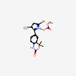 CC(C)(C)OC(=O)On1c(C#N)cc([N+](=O)[O-])c1-c1ccc2c(c1)C(C)(C)OC(=O)N2